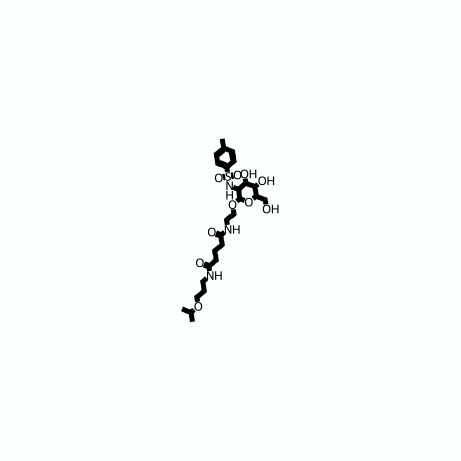 Cc1ccc(S(=O)(=O)NC2C(OCCNC(=O)CCCC(=O)NCCCOC(C)C)OC(CO)C(O)C2O)cc1